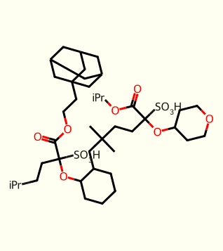 CC(C)CCC(OC1CCCCC1CC(C)(C)CCC(OC1CCOCC1)(C(=O)OC(C)C)S(=O)(=O)O)(C(=O)OCCC12CC3CC(CC(C3)C1)C2)S(=O)(=O)O